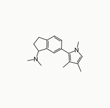 Cc1cn(C)c(-c2ccc3c(c2)C(N(C)C)CC3)c1C